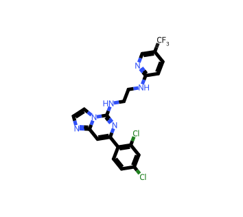 FC(F)(F)c1ccc(NCCNc2nc(-c3ccc(Cl)cc3Cl)cc3nccn23)nc1